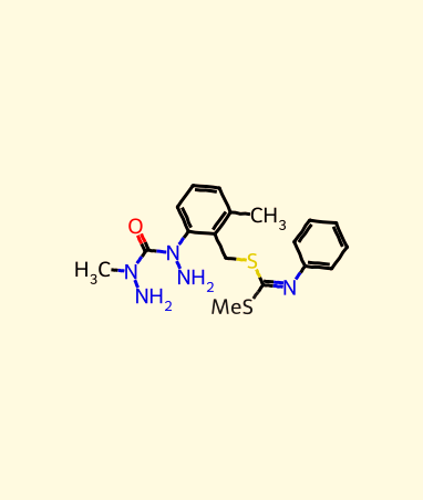 CSC(=Nc1ccccc1)SCc1c(C)cccc1N(N)C(=O)N(C)N